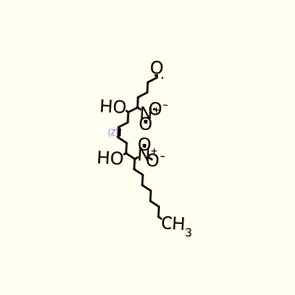 CCCCCCCCC(C(O)C/C=C\CC(O)C(CCC[C]=O)[N+](=O)[O-])[N+](=O)[O-]